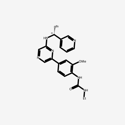 CCC[C@@H](Nc1cncc(-c2ccc(NC(=O)NCC)c(OC)c2)n1)c1cccnc1